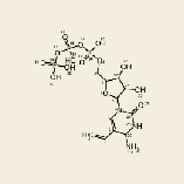 C=CC1=CN(C2OC(COP(=O)(O)OP(=O)(O)OP(=O)(O)O)C(O)C2O)C(=O)NC1N